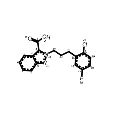 O=C(O)c1c2ccccc2nn1CCCc1cc(F)ccc1Cl